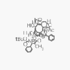 CC(=O)O[C@@]12CO[C@@H]1C[C@H](O)[C@@]1(C)C(=O)[C@H](O)C3=C(C)[C@@H](OC(=O)[C@H](C)[C@@H](NC(=O)OC(C)(C)C)c4ccccc4)C[C@@](O)([C@@H](OC(=O)c4ccccc4)C12)C3(C)C